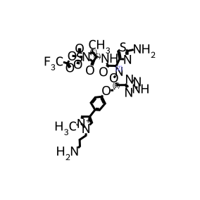 C[C@H]1[C@H](NC(=O)/C(=N\O[C@@H](COc2ccc(-c3cn(CCCN)[n+](C)c3)cc2)c2nn[nH]n2)c2csc(N)n2)C(=O)N1S(=O)(=O)OC(=O)C(F)(F)F